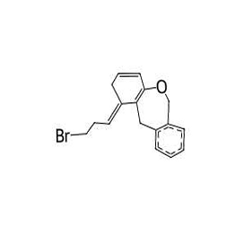 BrCCC=C1CC=CC2=C1Cc1ccccc1CO2